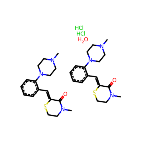 CN1CCN(c2ccccc2C=C2SCCN(C)C2=O)CC1.CN1CCN(c2ccccc2C=C2SCCN(C)C2=O)CC1.Cl.Cl.O